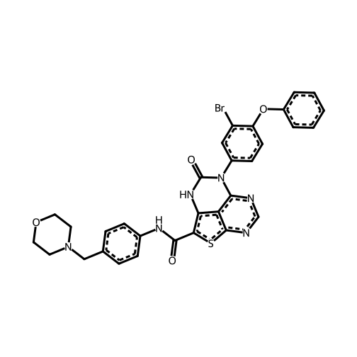 O=C(Nc1ccc(CN2CCOCC2)cc1)c1sc2ncnc3c2c1NC(=O)N3c1ccc(Oc2ccccc2)c(Br)c1